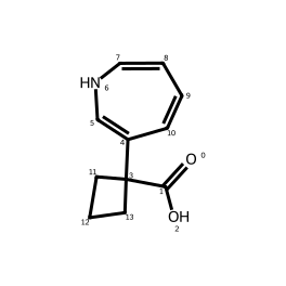 O=C(O)C1(C2=CNC=CC=C2)CCC1